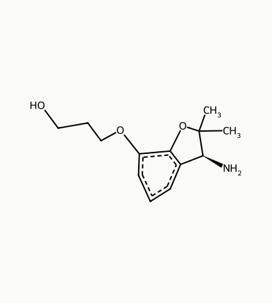 CC1(C)Oc2c(OCCCO)cccc2[C@@H]1N